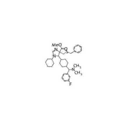 COC(=O)C1(CSCc2ccccc2)N=CN(C2CCCCC2)C1C1CCC(C(c2cccc(F)c2)N(C)C)CC1